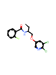 [CH2]CC(COc1cnc(Cl)c(Cl)c1)NC(=O)c1ccccc1F